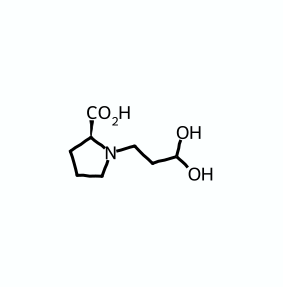 O=C(O)[C@@H]1CCCN1CCC(O)O